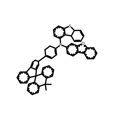 CC1(C)c2ccccc2C2(C3=CC(C4=CC=C(N(c5ccc6c(c5)oc5ccccc56)c5cccc6c5C5C=CC=CC5S6)CC4)CC=C3c3ccccc32)c2ccccc21